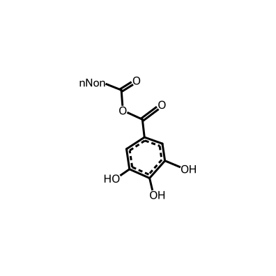 CC[CH]CCCCCCC(=O)OC(=O)c1cc(O)c(O)c(O)c1